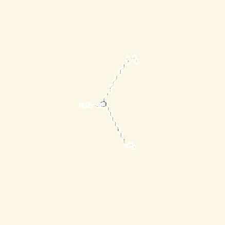 CCCCCCCCCCCCCCCc1cc(CCCCCCCCCCCCCCC)c[n+](CCCC)c1